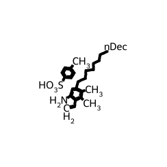 C=Cc1c(N)cc(CCCCCCCCCCCCCCCCCC)c(C)c1C.Cc1ccc(S(=O)(=O)O)cc1